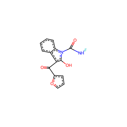 O=C(c1ccco1)c1c(O)n(C(=O)NF)c2ccccc12